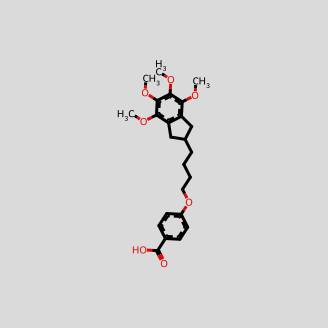 COc1c2c(c(OC)c(OC)c1OC)CC(CCCCOc1ccc(C(=O)O)cc1)C2